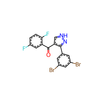 O=C(c1cc(F)ccc1F)c1c[nH]nc1-c1cc(Br)cc(Br)c1